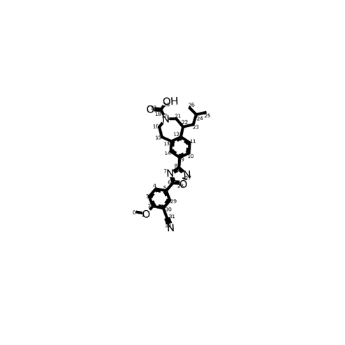 COc1ccc(-c2nc(-c3ccc4c(c3)CCN(C(=O)O)CC4CC(C)C)no2)cc1C#N